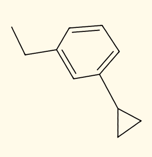 CCc1cccc(C2CC2)c1